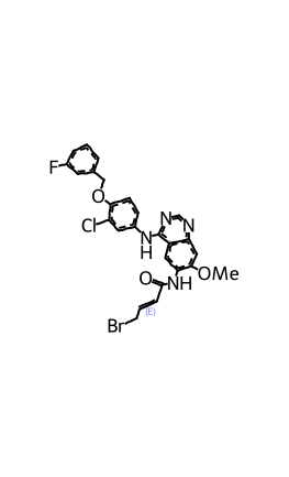 COc1cc2ncnc(Nc3ccc(OCc4cccc(F)c4)c(Cl)c3)c2cc1NC(=O)/C=C/CBr